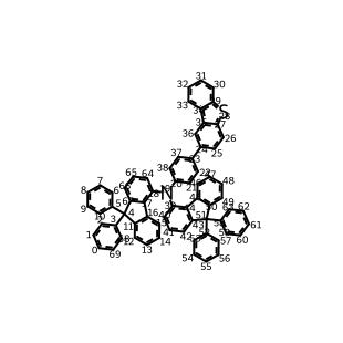 c1ccc(C2(c3ccccc3)c3ccccc3-c3c(N(c4ccc(-c5ccc6sc7ccccc7c6c5)cc4)c4cccc5c4-c4ccccc4C5(c4ccccc4)c4ccccc4)cccc32)cc1